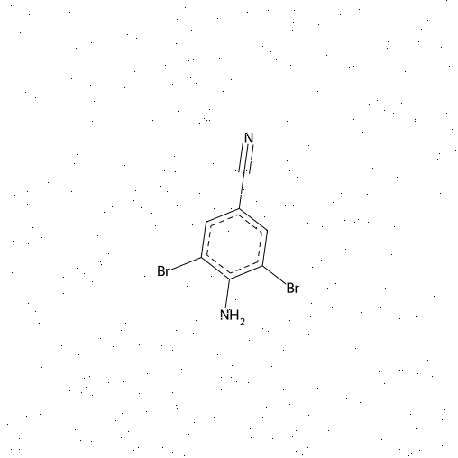 N#Cc1cc(Br)c(N)c(Br)c1